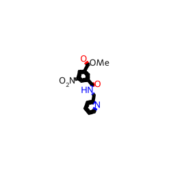 COC(=O)c1cc(C(=O)NCc2ccccn2)cc([N+](=O)[O-])c1